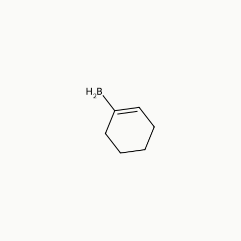 BC1=CCCCC1